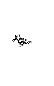 NC(=O)c1cnc(C(F)(F)CO)c(Cl)c1